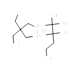 CCCC(O)(O)C(O)(O)O.OCC(CO)(CO)CO